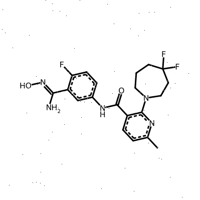 Cc1ccc(C(=O)Nc2ccc(F)c(C(N)=NO)c2)c(N2CCCC(F)(F)CC2)n1